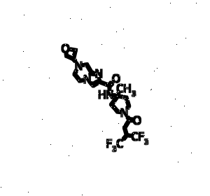 CC1(NC(=O)c2cn3c(n2)CN(C2COC2)CC3)CCN(C(=O)CC(C(F)(F)F)C(F)(F)F)CC1